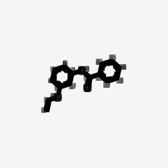 C=COc1cccc(OC(=O)c2ccccc2)c1